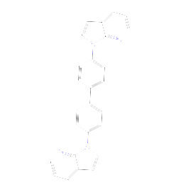 c1cnc2c(c1)ccn2-c1ccc(-c2ccc(-n3ccc4cccnc43)cc2)cc1